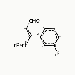 CCCCC/C(=C/C=O)c1cccc(F)c1